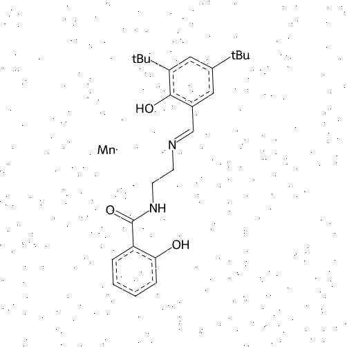 CC(C)(C)c1cc(C=NCCNC(=O)c2ccccc2O)c(O)c(C(C)(C)C)c1.[Mn]